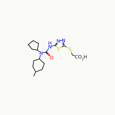 CC1CCC(N(C(=O)Nc2nnc(SCC(=O)O)s2)C2CCCC2)CC1